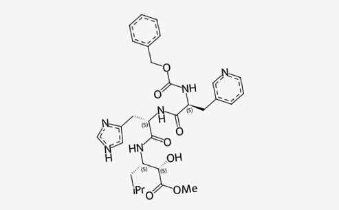 COC(=O)[C@@H](O)[C@H](CC(C)C)NC(=O)[C@H](Cc1c[nH]cn1)NC(=O)[C@H](Cc1cccnc1)NC(=O)OCc1ccccc1